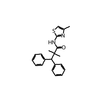 Cc1csc(NC(=O)C(C)(C)C(c2ccccc2)c2ccccc2)n1